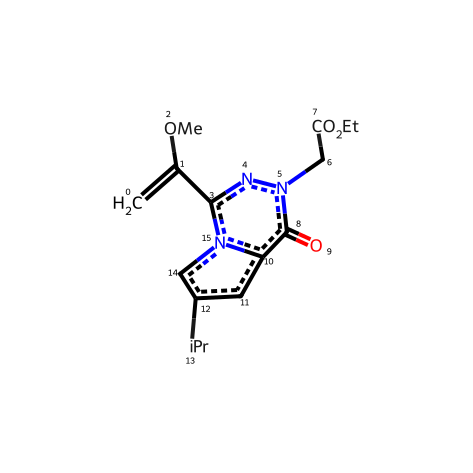 C=C(OC)c1nn(CC(=O)OCC)c(=O)c2cc(C(C)C)cn12